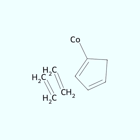 C=C.C=C.[Co][C]1=CC=CC1